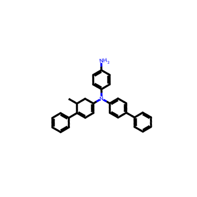 CC1CC(N(c2ccc(N)cc2)c2ccc(-c3ccccc3)cc2)=CC=C1c1ccccc1